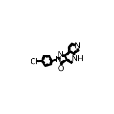 O=c1c2c[nH]c3cnccc3c-2nn1-c1ccc(Cl)cc1